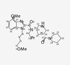 COCCCCn1c(C(=O)N(CC(C)C)[C@@H]2CNC[C@H](C(=O)N3CCCCC3)C2)nc2c(OC)cccc21